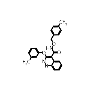 O=C(NOCc1ccc(C(F)(F)F)cc1)c1c(Oc2cccc(C(F)(F)F)c2)nnc2ccccc12